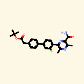 Cc1nc(C)c(-c2ccc(-c3ccc(CC(=O)OC(C)(C)C)cc3)cc2F)nc1C(N)=O